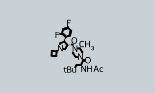 CC(=O)N[C@@H](CC(C)(C)C)C(=O)N1CCN(C(=O)[C@@H]2CN(C3CCC3)C[C@H]2c2ccc(F)cc2F)[C@@H](C)C1